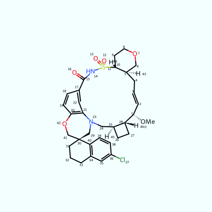 CO[C@H]1/C=C/C[C@@H]2COCC[C@H]2S(=O)(=O)NC(=O)c2ccc3c(c2)N(C[C@@H]2CC[C@H]21)C[C@@]1(CCCc2cc(Cl)ccc21)CO3